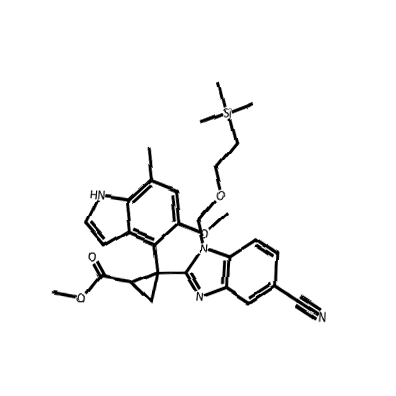 COC(=O)C1CC1(c1c(OC)cc(C)c2[nH]ccc12)c1nc2cc(C#N)ccc2n1COCC[Si](C)(C)C